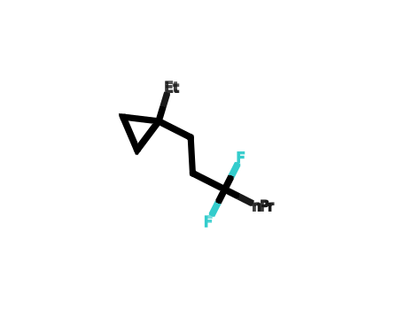 CCCC(F)(F)CCC1(CC)CC1